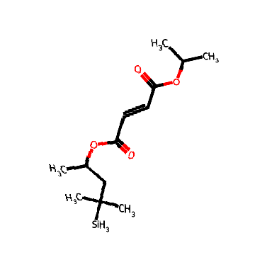 CC(C)OC(=O)C=CC(=O)OC(C)CC(C)(C)[SiH3]